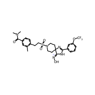 Cc1cc(C(=O)N(C)C)ccc1CCS(=O)(=O)N1CCC2(CC1)N=C(c1cccc(OC(F)(F)F)c1)N/C2=N\O